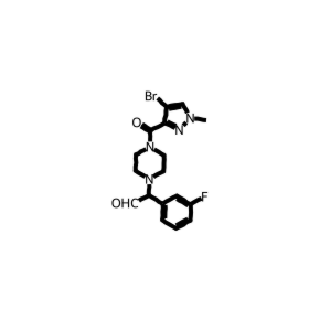 Cn1cc(Br)c(C(=O)N2CCN(C(C=O)c3cccc(F)c3)CC2)n1